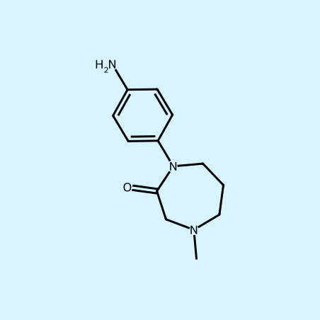 CN1CCCN(c2ccc(N)cc2)C(=O)C1